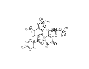 CCS(=O)(=O)Cc1cc(-c2cn(C)c(=O)cc2CNC(=O)OC(C)(C)C)c(C(=O)c2ccc(C)cc2)cc1OC